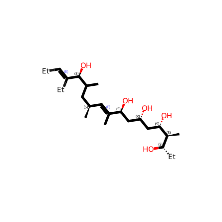 CC/C=C(\CC)[C@@H](O)C(C)C[C@H](C)/C=C(\C)[C@@H](O)C[C@H](O)C[C@H](O)[C@@H](C)[C@@H](O)CC